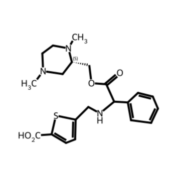 CN1CCN(C)[C@H](COC(=O)C(NCc2ccc(C(=O)O)s2)c2ccccc2)C1